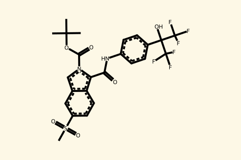 CC(C)(C)OC(=O)n1cc2cc(S(C)(=O)=O)ccc2c1C(=O)Nc1ccc(C(O)(C(F)(F)F)C(F)(F)F)cc1